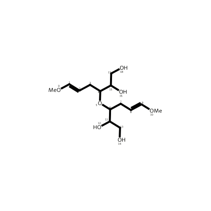 COC=CCC(OC(CC=COC)C(O)CO)C(O)CO